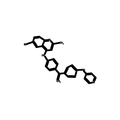 C=C(c1ccc(Nc2ccncc2)cc1)c1ccc(Nc2cc(C)nc3ccc(CC)cc23)cc1